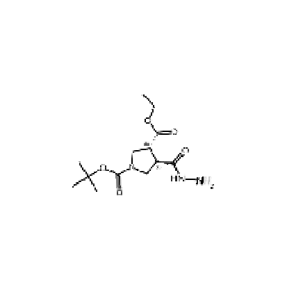 CCOC(=O)[C@H]1CN(C(=O)OC(C)(C)C)C[C@@H]1C(=O)NN